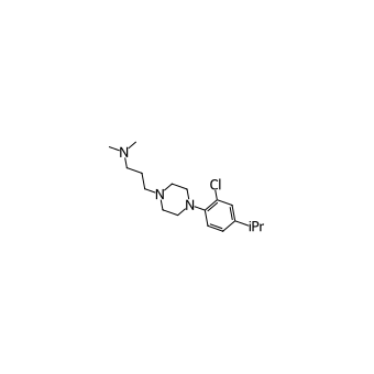 CC(C)c1ccc(N2CCN(CCCN(C)C)CC2)c(Cl)c1